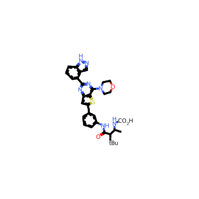 CC(NC(=O)O)C(C(=O)Nc1cccc(-c2cc3nc(-c4cccc5[nH]ncc45)nc(N4CCOCC4)c3s2)c1)C(C)(C)C